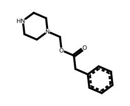 O=C(Cc1ccccc1)OCN1CCNCC1